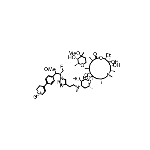 CC[C@H]1OC(=O)[C@H](C)[C@@H](C2C[C@@](C)(OC)[C@@H](O)[C@H](C)O2)[C@H](C)[C@@H](O[C@@H]2O[C@H](C)C[C@H](N(C)CCc3cn([C@H](CF)[C@H](OC)c4ccc(C5=CC[S+]([O-])CC5)cc4)nn3)[C@H]2O)[C@](C)(O)C[C@@H](C)CN(C)[C@H](C)[C@@H](O)[C@]1(C)O